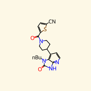 CCCCn1c(=O)[nH]c2nccc(C3CCN(C(=O)c4ccc(C#N)s4)CC3)c21